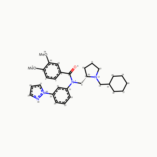 COc1ccc(C(=O)N(C[C@@H]2CCCN2CC2CCCCC2)c2cccc(-n3cccn3)c2)cc1OC